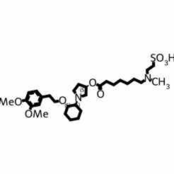 COc1ccc(CCO[C@H]2CCCC[C@@H]2N2CC[C@H](OC(=O)CCCCCCN(C)CCS(=O)(=O)O)C2)cc1OC